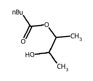 CCCCC(=O)OC(C)C(C)O